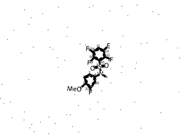 COc1ccc(N(C)S(=O)(=O)c2c(F)c(F)cc(F)c2F)cc1F